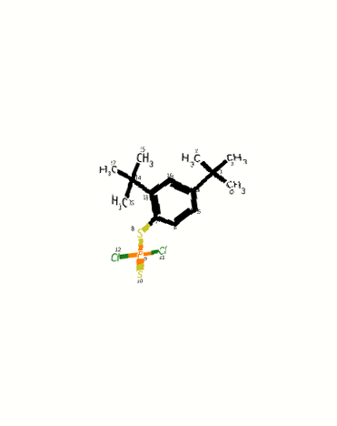 CC(C)(C)c1ccc(SP(=S)(Cl)Cl)c(C(C)(C)C)c1